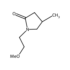 COCCN1CC(C)CC1=O